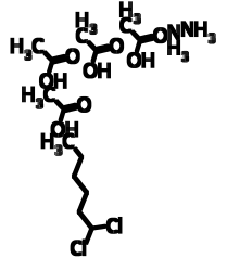 CC(=O)O.CC(=O)O.CC(=O)O.CC(=O)O.CCCCCC(Cl)Cl.N.N